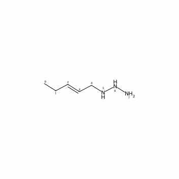 CC/C=C/CNNN